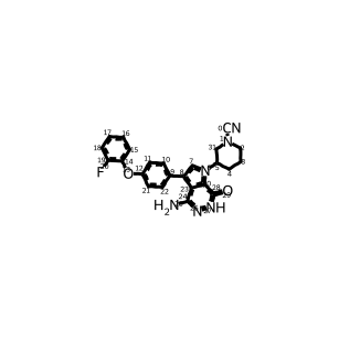 N#CN1CCCC(n2cc(-c3ccc(Oc4ccccc4F)cc3)c3c(N)n[nH]c(=O)c32)C1